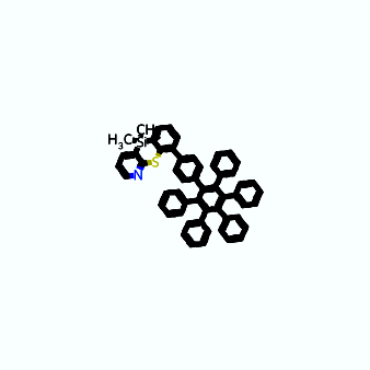 C[Si]1(C)c2cccnc2Sc2c(-c3ccc(-c4c(-c5ccccc5)c(-c5ccccc5)c(-c5ccccc5)c(-c5ccccc5)c4-c4ccccc4)cc3)cccc21